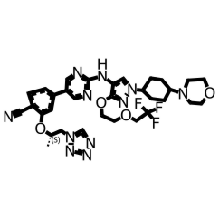 C[C@@H](Cn1cnnn1)Oc1cc(-c2cnc(Nc3cn(C4CCC(N5CCOCC5)CC4)nc3OCCOCC(F)(F)F)nc2)ccc1C#N